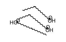 CCCCCCCC/C=C\CCCCCCCCCCCC(=O)O.CCCCCCCC/C=C\CCCCCCCCCCCCCC(=O)O.CCCCCCCCCC/C=C/CCCCCCCCCC(=O)O